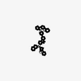 CC1(C)c2ccc(-c3ccc4c(c3)n3c5ccccc5c5ccc6c7ccccc7n4c6c53)cc2-c2ccc(N(c3ccc4ccccc4c3)c3ccc4c(c3)oc3ccccc34)cc21